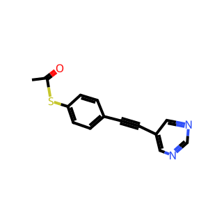 CC(=O)Sc1ccc(C#Cc2cncnc2)cc1